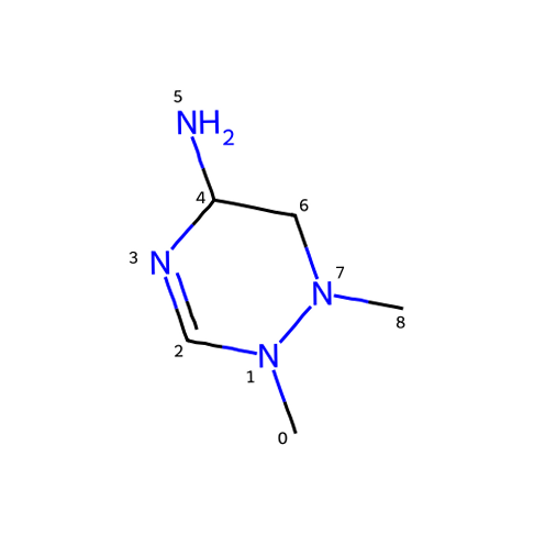 CN1C=NC(N)CN1C